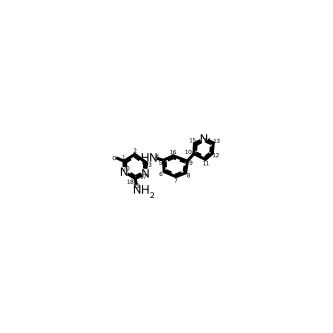 Cc1cc(Nc2cccc(-c3cccnc3)c2)nc(N)n1